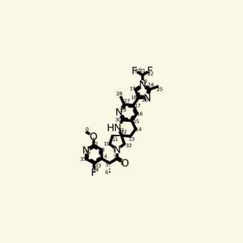 COc1cc([C@@H](C)C(=O)N2CC[C@@]3(CCc4cc(-c5cn(C(F)F)c(C)n5)c(C)nc4N3)C2)c(F)cn1